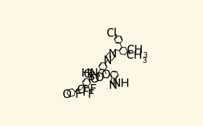 CC1(C)CCC(CN2CCN(c3ccc(C(=O)NS(=O)(=O)c4ccc(OCC5(F)CCOCC5)c(C(F)(F)F)c4)c(Oc4cccc5[nH]ncc45)c3)CC2)=C(c2ccc(Cl)cc2)C1